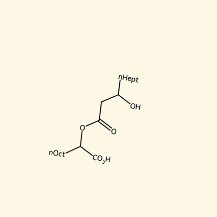 CCCCCCCCC(OC(=O)CC(O)CCCCCCC)C(=O)O